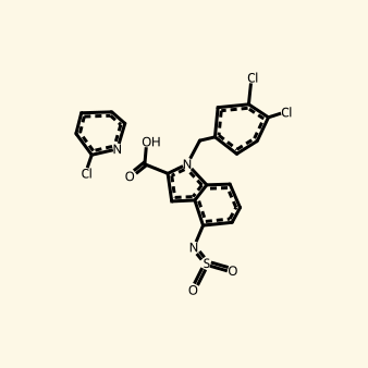 Clc1ccccn1.O=C(O)c1cc2c(N=S(=O)=O)cccc2n1Cc1ccc(Cl)c(Cl)c1